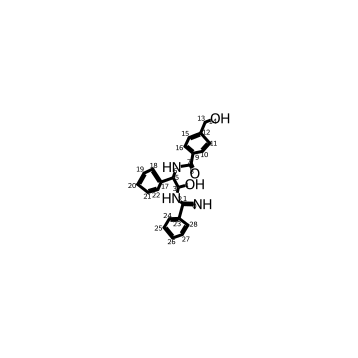 N=C(NC(O)C(NC(=O)c1ccc(CO)cc1)c1ccccc1)c1ccccc1